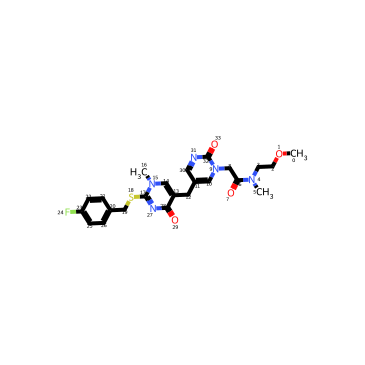 COCCN(C)C(=O)Cn1cc(Cc2cn(C)c(SCc3ccc(F)cc3)nc2=O)cnc1=O